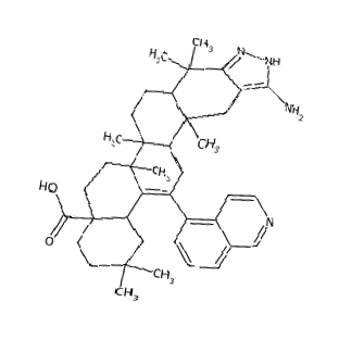 CC1(C)CCC2(C(=O)O)CCC3(C)C(=C(c4cccc5cnccc45)CC4C5(C)Cc6c(n[nH]c6N)C(C)(C)C5CCC43C)C2C1